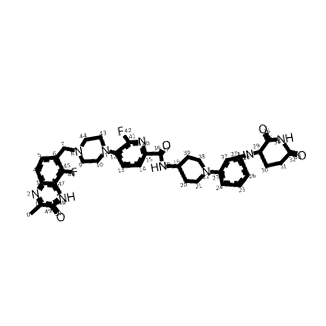 Cc1nc2ccc(CN3CCN(c4ccc(C(=O)NC5CCN(c6cccc(NC7CCC(=O)NC7=O)c6)CC5)nc4F)CC3)c(F)c2[nH]c1=O